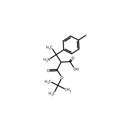 CC(C)(C)OC(=O)C(C(=O)O)C(C)(N)c1ccc(I)cc1